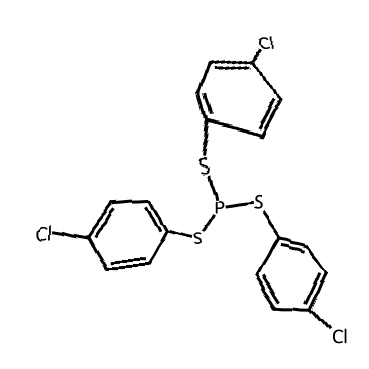 Clc1ccc(SP(Sc2ccc(Cl)cc2)Sc2ccc(Cl)cc2)cc1